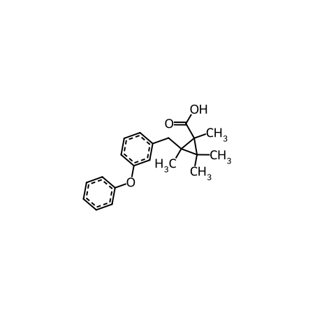 CC1(C)C(C)(Cc2cccc(Oc3ccccc3)c2)C1(C)C(=O)O